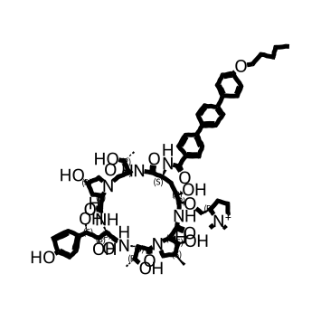 CCCCCOc1ccc(-c2ccc(-c3ccc(C(=O)N[C@H]4C[C@@H](O)[C@@H](OC[C@H]5CCC[N+]5(C)C)NC(=O)[C@@H]5[C@@H](O)[C@@H](C)CN5C(=O)[C@H]([C@@H](C)O)NC(=O)[C@H]([C@H](O)[C@@H](O)c5ccc(O)cc5)NC(=O)[C@@H]5C[C@@H](O)CN5C(=O)[C@H]([C@@H](C)O)NC4=O)cc3)cc2)cc1